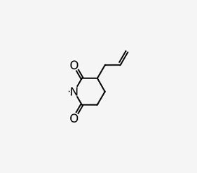 C=CCC1CCC(=O)[N]C1=O